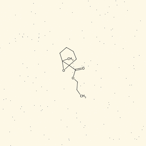 CCCOC(=O)C12CCCCC1(C)O2